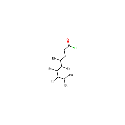 CCC(C)C(CC)C(CC)C(CC)C(CC)C(CC)CCC(=O)Cl